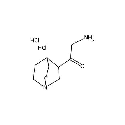 Cl.Cl.NCC(=O)C1CN2CCC1CC2